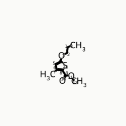 CCCOc1cc(C)c(C(=O)OC)s1